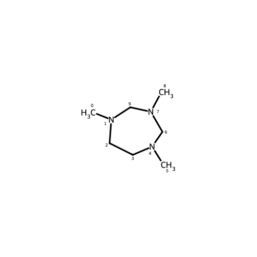 CN1CCN(C)CN(C)C1